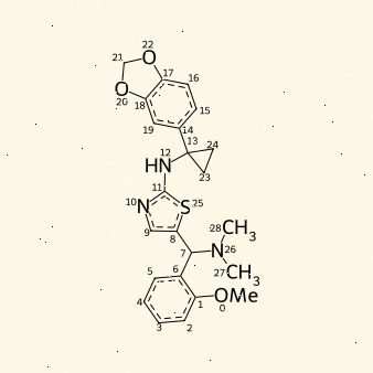 COc1ccccc1C(c1cnc(NC2(c3ccc4c(c3)OCO4)CC2)s1)N(C)C